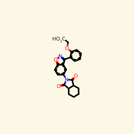 O=C(O)COc1ccccc1-c1noc2ccc(N3C(=O)C4CCCCC4C3=O)cc12